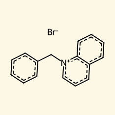 [Br-].c1ccc(C[n+]2cccc3ccccc32)cc1